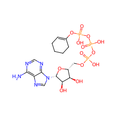 Nc1ncnc2c1ncn2[C@@H]1O[C@H](COP(=O)(O)OP(=O)(O)OP(=O)(O)OC2=CCCCC2)[C@@H](O)[C@H]1O